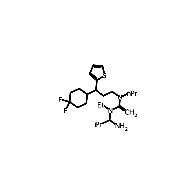 C=C(N(CCC)CCC(c1cccs1)C1CCC(F)(F)CC1)N(CC)C(N)C(C)C